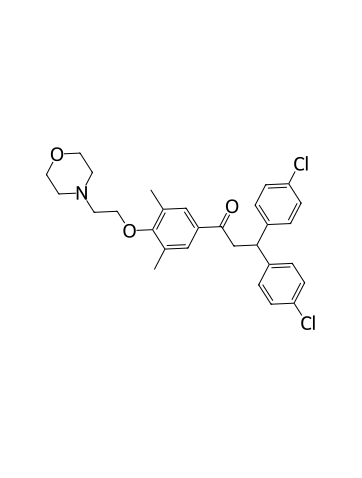 Cc1cc(C(=O)CC(c2ccc(Cl)cc2)c2ccc(Cl)cc2)cc(C)c1OCCN1CCOCC1